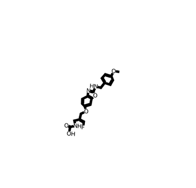 COc1ccc(CNc2nc3ccc(OCC(=CF)CNC(=O)O)cc3o2)cc1